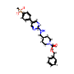 CS(=O)(=O)c1ccc(-c2cnc(NCC3CCN(C(=O)OCc4ccccc4)CC3)nc2)cc1